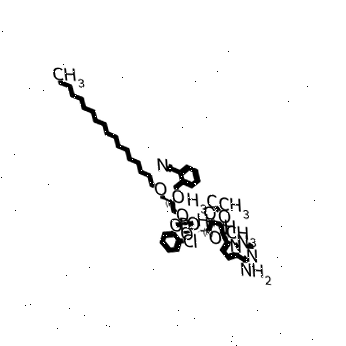 CCCCCCCCCCCCCCCCCCOC[C@H](COP(=O)(OC[C@H]1O[C@@](C)(c2ccc3c(N)ncnn23)[C@@H]2OC(C)(C)O[C@@H]21)Oc1ccccc1Cl)OCc1ccccc1C#N